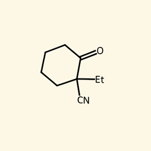 CCC1(C#N)CCCCC1=O